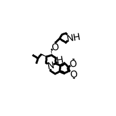 COc1cc2c(cc1OC)[C@H]1C[C@@H](COCC3CCNC3)[C@H](CC(C)C)CN1CC2